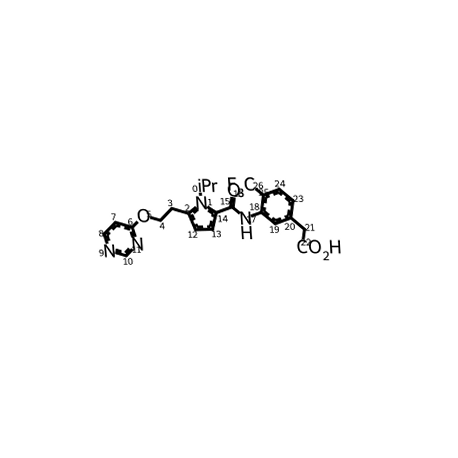 CC(C)n1c(CCOc2ccncn2)ccc1C(=O)Nc1cc(CC(=O)O)ccc1C(F)(F)F